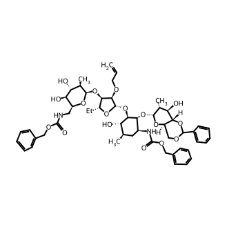 C=CCO[C@H]1[C@H](O[C@@H]2[C@@H](O)[C@H](C)C[C@H](NC(=O)OCc3ccccc3)[C@H]2O[C@H]2O[C@@H]3COC(c4ccccc4)O[C@H]3[C@H](O)[C@H]2C)O[C@H](CC)[C@H]1O[C@H]1O[C@@H](CNC(=O)OCc2ccccc2)[C@@H](O)[C@H](O)[C@H]1C